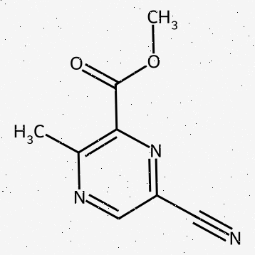 COC(=O)c1nc(C#N)cnc1C